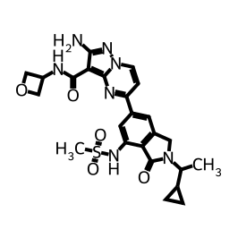 CC(C1CC1)N1Cc2cc(-c3ccn4nc(N)c(C(=O)NC5COC5)c4n3)cc(NS(C)(=O)=O)c2C1=O